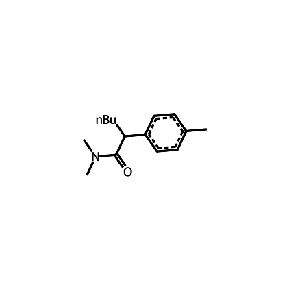 CCCCC(C(=O)N(C)C)c1ccc(C)cc1